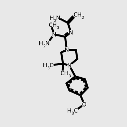 C=C(N)/N=C(\N(C)N)N1CCN(c2ccc(OC)cc2)C(C)(C)C1